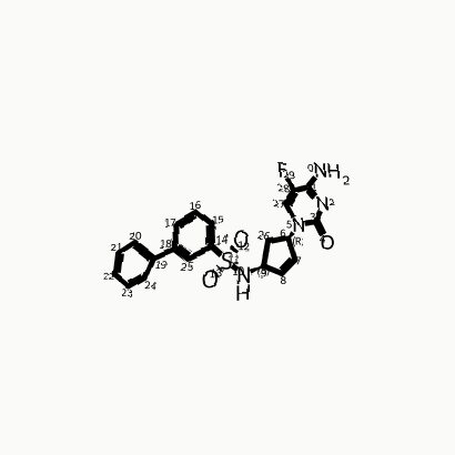 Nc1nc(=O)n([C@H]2C=C[C@@H](NS(=O)(=O)c3cccc(-c4ccccc4)c3)C2)cc1F